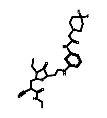 CCNC(=O)C(C#N)CC1SC(CCNc2cccc(NC(=O)CN3CCC(F)(F)CC3)c2)C(=O)N1CC